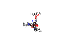 C=C(C)C(=O)OCCOCCNCc1ccc(-c2c3ccc(=[N+](CC)CC)cc-3oc3cc(N(CC)CC)ccc23)c(S(=O)(=O)O)c1